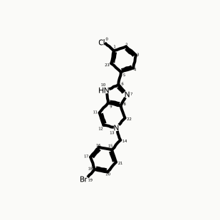 Clc1cccc(-c2nc3c([nH]2)C=CN(Cc2ccc(Br)cc2)C3)c1